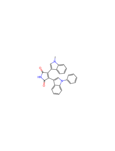 Cn1cc(C2=C(c3cn(-c4ccccc4)c4ccccc34)C(=O)NC2=O)c2ccccc21